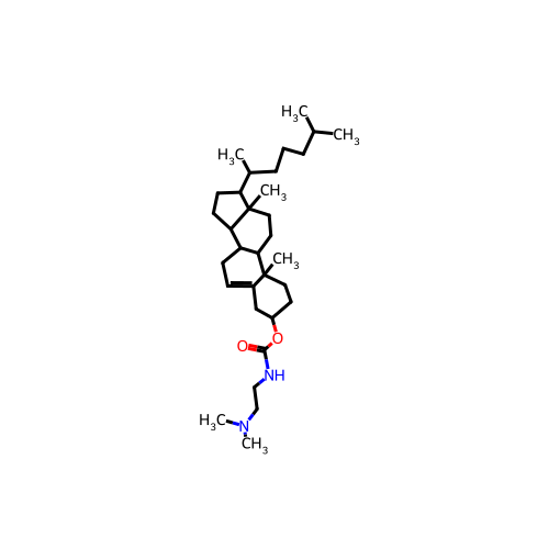 CC(C)CCCC(C)C1CCC2C3CC=C4CC(OC(=O)NCCN(C)C)CCC4(C)C3CCC12C